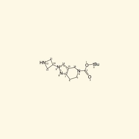 CC(C)(C)OC(=O)N1CCc2nn(C3CNC3)cc2C1